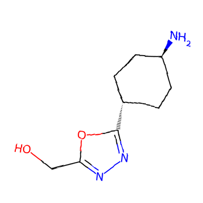 N[C@H]1CC[C@H](c2nnc(CO)o2)CC1